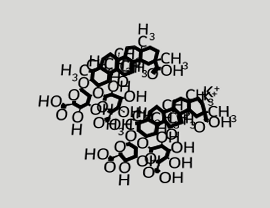 CC1(C)[C@@H](O[C@H]2O[C@H](C(=O)O)[C@@H](O)[C@H](O)[C@H]2O[C@@H]2O[C@H](C(=O)O)[C@@H](O)[C@H](O)[C@H]2O)CC[C@]2(C)[C@H]3C(=O)C=C4[C@@H]5C[C@@](C)(C(=O)O)CC[C@]5(C)CC[C@@]4(C)[C@]3(C)CC[C@@H]12.CC1(C)[C@@H](O[C@H]2O[C@H](C(=O)O)[C@@H](O)[C@H](O)[C@H]2O[C@@H]2O[C@H](C(=O)O)[C@@H](O)[C@H](O)[C@H]2O)CC[C@]2(C)[C@H]3C(=O)C=C4[C@@H]5C[C@@](C)(C(=O)O)CC[C@]5(C)CC[C@@]4(C)[C@]3(C)CC[C@@H]12.[K+].[K+]